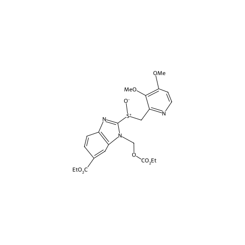 CCOC(=O)OCn1c([S+]([O-])Cc2nccc(OC)c2OC)nc2ccc(C(=O)OCC)cc21